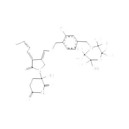 C\C=C/C=C1/C(=O)N(C2(O)CCC(=O)NC2=O)C/C1=C\OCc1ccc(CN2C(O)(O)C(O)(O)OC(O)(O)C2(O)O)cc1F